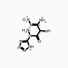 CCCC(C(=O)N(N)c1nnn[nH]1)C(N)=N[N+](=O)[O-]